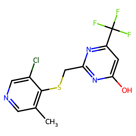 Cc1cncc(Cl)c1SCc1nc(O)cc(C(F)(F)F)n1